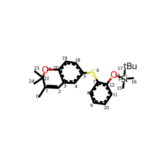 CC1=Cc2cc(Sc3ccccc3O[Si](C)(C)C(C)(C)C)ccc2OC1(C)C